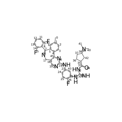 Cc1ccc2c(c1)C(c1c(F)cccc1F)=NCc1cnc(Nc3ccc(F)c(NC(=N)NC(=O)C4CCC(N(C)C)C4)c3)nc1-2